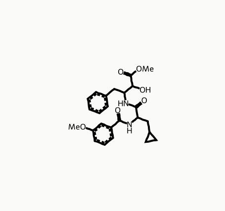 COC(=O)C(O)C(Cc1ccccc1)NC(=O)C(CC1CC1)NC(=O)c1cccc(OC)c1